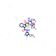 Cc1noc([C@@H](C)NC(=O)C(=O)c2c(Cl)c(C(=O)Nc3cnc(F)c(C)c3)c3n2CCCC3)n1